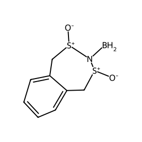 BN1[S+]([O-])Cc2ccccc2C[S+]1[O-]